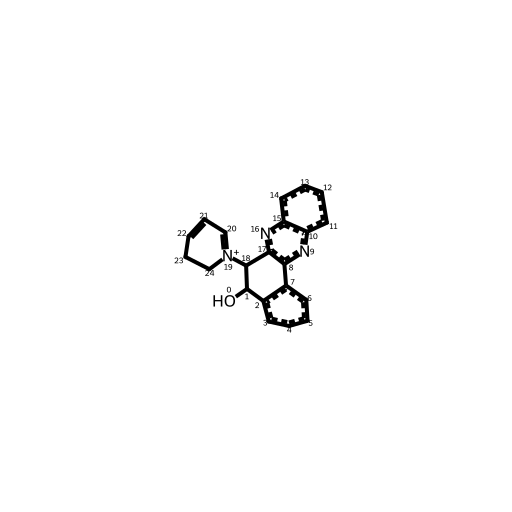 OC1c2ccccc2-c2nc3ccccc3nc2C1[N+]1=CC=CCC1